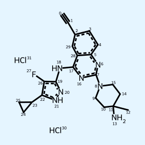 C#Cc1ccc2nc(N3CCC(C)(N)CC3)nc(Nc3n[nH]c(C4CC4)c3F)c2c1.Cl.Cl